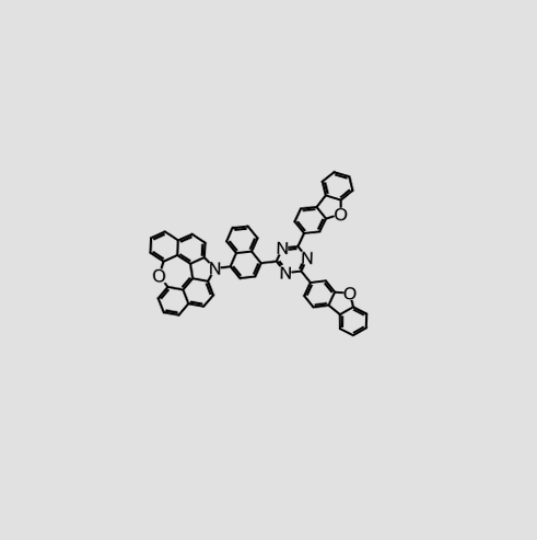 c1ccc2c(c1)oc1cc(-c3nc(-c4ccc5c(c4)oc4ccccc45)nc(-c4ccc(-n5c6ccc7cccc8oc9cccc%10ccc5c(c%109)c6c78)c5ccccc45)n3)ccc12